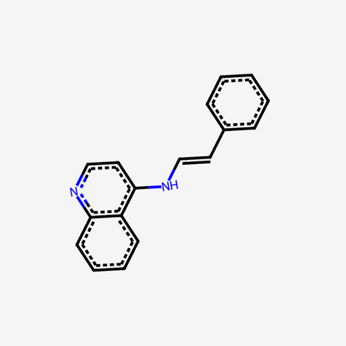 C(=Cc1ccccc1)Nc1ccnc2ccccc12